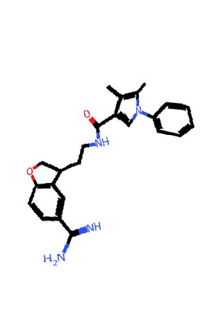 Cc1c(C(=O)NCCC2COc3ccc(C(=N)N)cc32)cn(-c2ccccc2)c1C